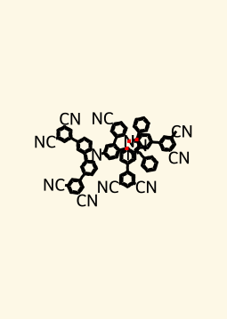 N#Cc1cc(C#N)cc(-c2ccc3c(c2)c2cc(-c4cc(C#N)cc(C#N)c4)ccc2n3-c2ccc(-c3nc(-c4ccccc4)nc(-c4ccccc4)n3)c(-c3cc(C#N)ccc3-n3c4ccc(-c5cc(C#N)cc(C#N)c5)cc4c4cc(-c5cc(C#N)cc(C#N)c5)ccc43)c2)c1